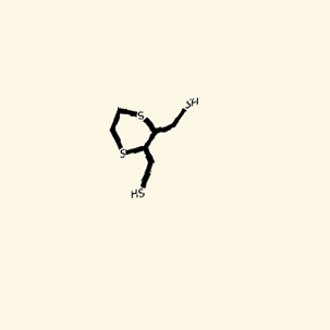 SCC1SCCSC1CS